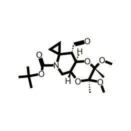 CO[C@@]1(C)O[C@@H]2[C@@H](C=O)C3(CC3)N(C(=O)OC(C)(C)C)C[C@H]2O[C@]1(C)OC